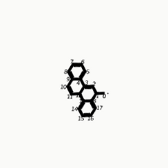 [CH2]C1C=C2c3ccccc3C=CC2c2ccccc21